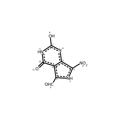 O=Cc1[nH]c([N+](=O)[O-])c2nc(O)[nH]c(=O)c12